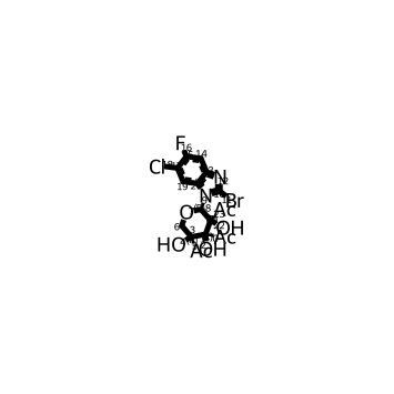 CC(=O)[C@@]1(O)[C@@](O)(C(C)=O)CO[C@@H](n2c(Br)nc3cc(F)c(Cl)cc32)[C@@]1(O)C(C)=O